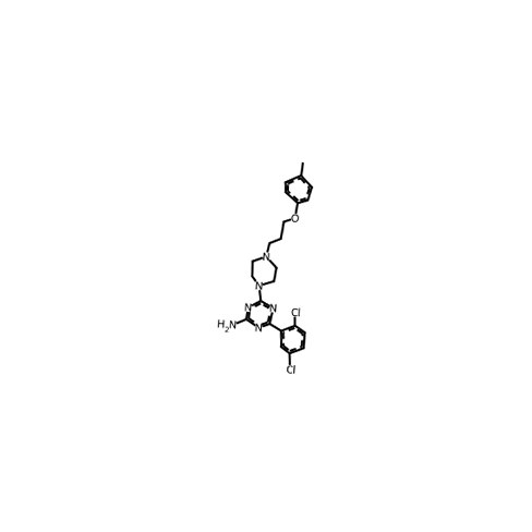 Cc1ccc(OCCCN2CCN(c3nc(N)nc(-c4cc(Cl)ccc4Cl)n3)CC2)cc1